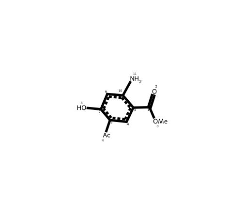 COC(=O)c1cc(C(C)=O)c(O)cc1N